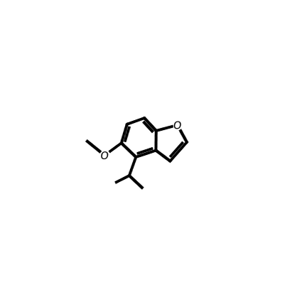 COc1ccc2occc2c1C(C)C